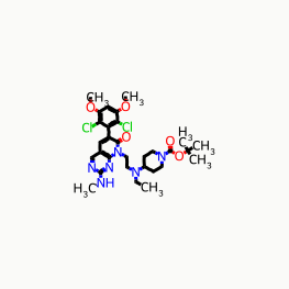 CCN(CCn1c(=O)c(-c2c(Cl)c(OC)cc(OC)c2Cl)cc2cnc(NC)nc21)C1CCN(C(=O)OC(C)(C)C)CC1